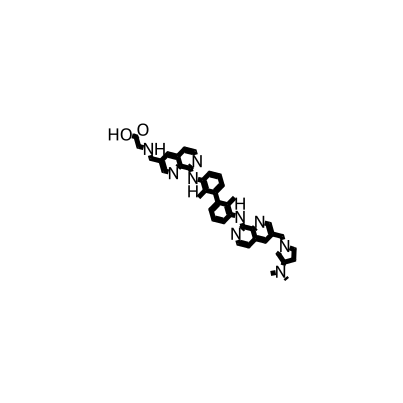 Cc1c(Nc2nccc3cc(CNCC(=O)O)cnc23)cccc1-c1cccc(Nc2nccc3cc(CN4CCC(N(C)C)C4)cnc23)c1C